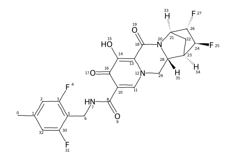 Cc1cc(F)c(CNC(=O)c2cn3c(c(O)c2=O)C(=O)N2[C@@H]4C[C@@H]([C@H](F)[C@H]4F)[C@@H]2C3)c(F)c1